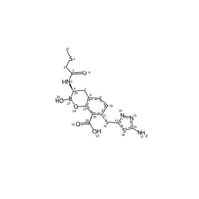 CSCC(=O)N[C@H]1Cc2ccc(Sc3nnc(N)s3)c(C(=O)O)c2OB1O